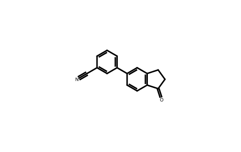 N#Cc1cccc(-c2ccc3c(c2)CCC3=O)c1